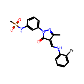 CCc1ccccc1NC=C1C(=O)N(c2cccc(NS(C)(=O)=O)c2)N=C1C